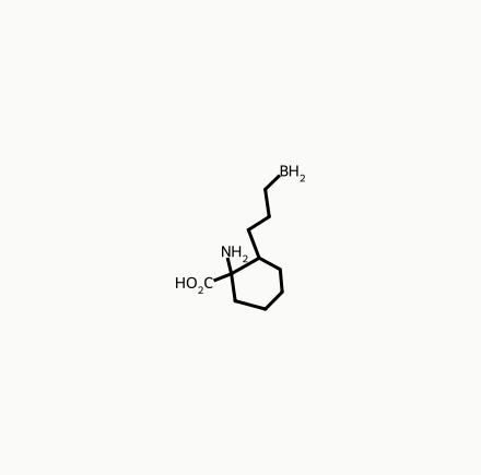 BCCCC1CCCCC1(N)C(=O)O